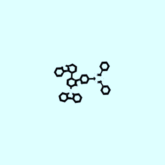 c1ccc(-c2nc(-c3ccccc3)nc(-c3ccc4c(c3)oc3c(-n5c6ccccc6c6ccccc65)ccc(-c5cccc6sc7ccccc7c56)c34)n2)cc1